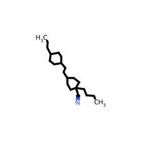 CCCCC1(C#N)CCC(CCC2CCC(CCC)CC2)CC1